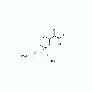 CCCCCCCCCCCC[N@+]1(CCCS(=O)(=O)O)CCC[C@@H](C(=O)N(CC)CC)C1